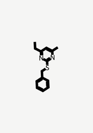 CCc1cc(C)nc(SCc2ccccc2)n1